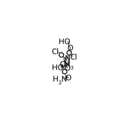 C[C@@](O)(C(=O)N1CCN(c2ccc(OCCO)cc2Cl)[C@H](c2ccc(Cl)cc2)C1)c1ccc(C(N)=O)cc1